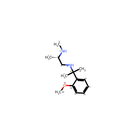 CN[C@@H](C)CNC(C)(C)c1ccccc1OC